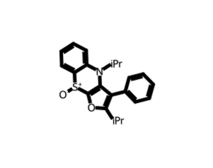 CC(C)c1oc2c(c1-c1ccccc1)N(C(C)C)c1ccccc1[S+]2[O-]